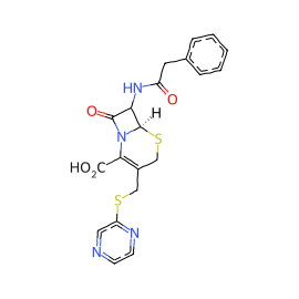 O=C(Cc1ccccc1)NC1C(=O)N2C(C(=O)O)=C(CSc3cnccn3)CS[C@H]12